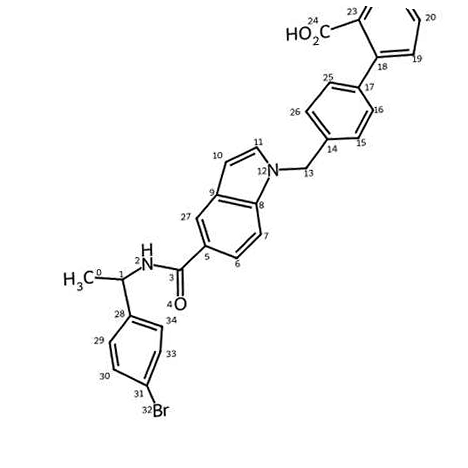 CC(NC(=O)c1ccc2c(ccn2Cc2ccc(-c3ccccc3C(=O)O)cc2)c1)c1ccc(Br)cc1